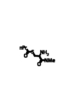 CCCC(=O)SC[C@@H](N)C(=O)NC